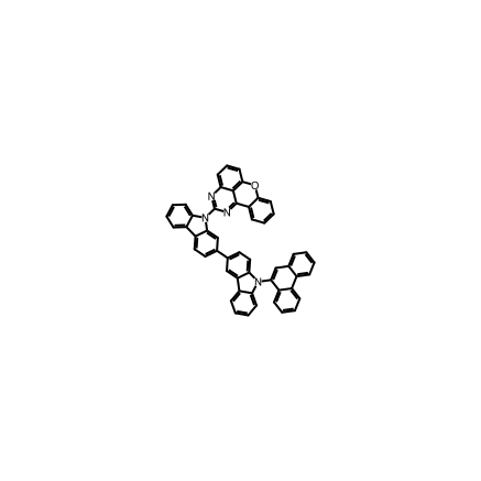 c1ccc2c(c1)Oc1cccc3nc(-n4c5ccccc5c5ccc(-c6ccc7c(c6)c6ccccc6n7-c6cc7ccccc7c7ccccc67)cc54)nc-2c13